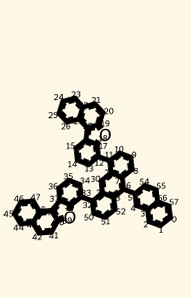 c1ccc2cc(-c3c4cccc(-c5cccc6c5oc5ccc7ccccc7c56)c4cc4c(-c5cccc6c5oc5ccc7ccccc7c56)cccc34)ccc2c1